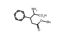 CC(C)(C)OC(=O)CC(c1ccccc1)C(N)C(=O)O